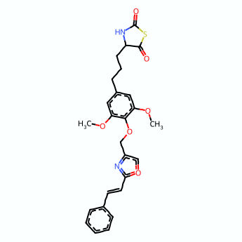 COc1cc(CCCC2NC(=O)SC2=O)cc(OC)c1OCc1coc(C=Cc2ccccc2)n1